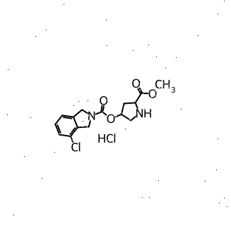 COC(=O)C1CC(OC(=O)N2Cc3cccc(Cl)c3C2)CN1.Cl